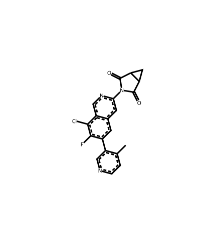 Cc1ccncc1-c1cc2cc(N3C(=O)C4CC4C3=O)ncc2c(Cl)c1F